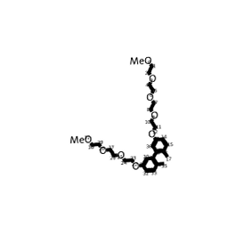 COCCOCCOCCOCCOc1ccc(C)c(-c2cc(OCCOCCOCCOC)ccc2C)c1